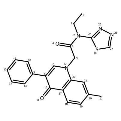 CCN(C(=O)Cn1cc(-c2ccccc2)c(=O)c2ccc(C)cc21)c1nncs1